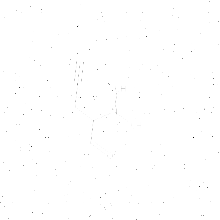 [C]#CCC(C=O)N(C)C